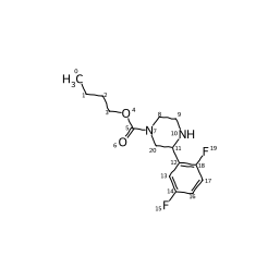 CCCCOC(=O)N1CCNC(c2cc(F)ccc2F)C1